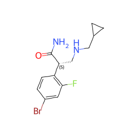 NC(=O)[C@H](CNCC1CC1)c1ccc(Br)cc1F